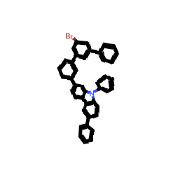 Brc1cc(-c2ccccc2)cc(-c2cccc(-c3ccc4c5cc(-c6ccccc6)ccc5n(-c5ccccc5)c4c3)c2)c1